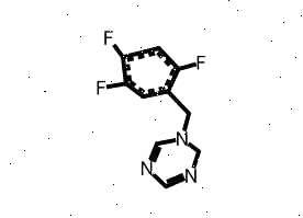 Fc1cc(F)c(CN2C=NC=NC2)cc1F